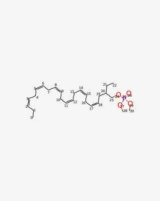 CC/C=C\C/C=C\C/C=C\C/C=C\C/C=C\C/C=C\CC(CC)COP(=O)(OC)OC